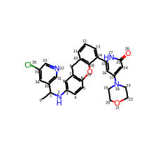 CC(Nc1ccc2c(c1)Cc1cccc(-c3cc(N4CCOCC4)cc(=O)[nH]3)c1O2)c1cncc(Cl)c1